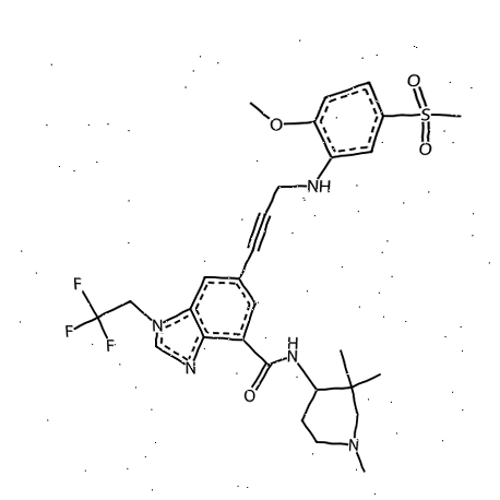 COc1ccc(S(C)(=O)=O)cc1NCC#Cc1cc(C(=O)NC2CCN(C)CC2(C)C)c2ncn(CC(F)(F)F)c2c1